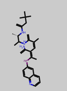 C=C(CC(C)(C)C)N[C@@H](C)C(C)NC(=C)/C(C)=C\C(C(=C)N)=C(/C)Pc1ccc2ncccc2c1